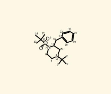 CC(C)(C)N1CCN(S(=O)(=O)C(C)(C)C)C(Cc2ccccc2)C1